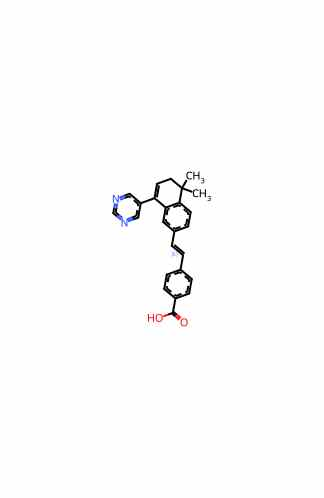 CC1(C)CC=C(c2cncnc2)c2cc(/C=C/c3ccc(C(=O)O)cc3)ccc21